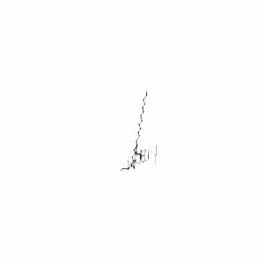 CCCCCCCCCCCCCCCC(CC[N+](C)(C)CCC)[Si](O)(O)O.[Cl-]